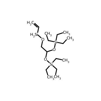 C=C[SiH2]OCC(O[Si](CC)(CC)CC)O[Si](CC)(CC)CC